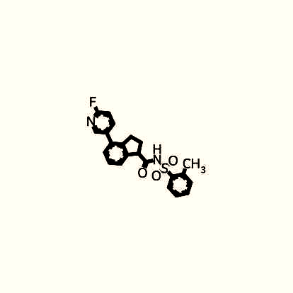 Cc1ccccc1S(=O)(=O)NC(=O)C1CCc2c(-c3ccc(F)nc3)cccc21